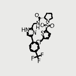 O=C(NCc1nc(-c2ccc(C(F)(F)F)cc2)c[nH]1)[C@@H]1CCCN1S(=O)(=O)c1ccc(Cl)s1